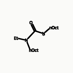 CCCCCCCC[N]C(=O)N(CC)CCCCCCCC